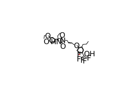 CCCc1cc(C(O)(C(F)F)C(F)(F)F)ccc1OC/C=C/CN1C(=O)NC(CC)(c2ccc3c(c2)OCCO3)C1=O